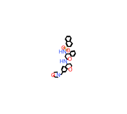 O=C(CC(NS(=O)(=O)c1ccc2ccccc2c1)c1ccccc1)NC1CCOc2cc(CN3CCOCC3)ccc21